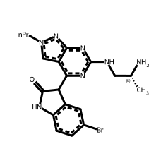 CCCn1cc2c(C3C(=O)Nc4ccc(Br)cc43)nc(NC[C@@H](C)N)nc2n1